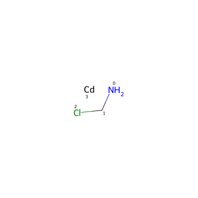 NCCl.[Cd]